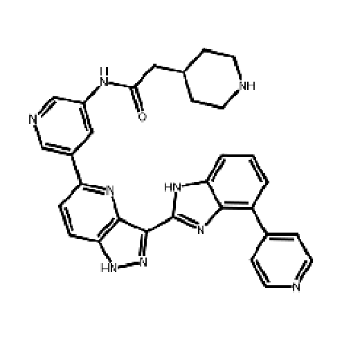 O=C(CC1CCNCC1)Nc1cncc(-c2ccc3[nH]nc(-c4nc5c(-c6ccncc6)cccc5[nH]4)c3n2)c1